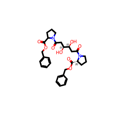 O=C(OCc1ccccc1)C1CCCN1C(=O)C[C@H](O)[C@@H](O)CC(=O)N1CCC[C@@H]1C(=O)OCc1ccccc1